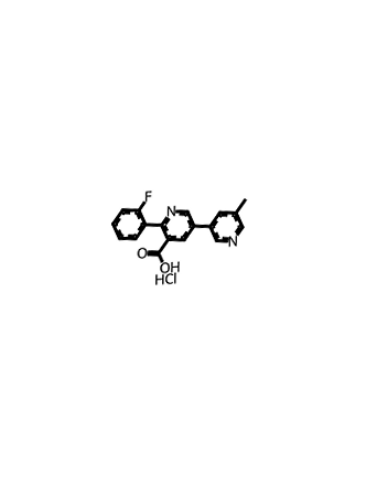 Cc1cncc(-c2cnc(-c3ccccc3F)c(C(=O)O)c2)c1.Cl